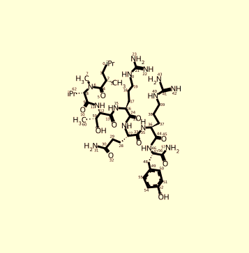 CC(C)C[C@H](C)C(=O)N(C)[C@H](C(=O)N[C@H](C(=O)N[C@@H](CCCNC(=N)N)C(=O)N[C@@H](CCC(N)=O)C(=O)N[C@@H](CCCNC(=N)N)C(=O)N[C@@H](Cc1ccc(O)cc1)C(N)=O)[C@@H](C)O)C(C)C